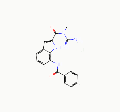 CN(C(=N)N)C(=O)c1cc2cccc(NC(=O)c3ccccc3)c2[nH]1.Cl